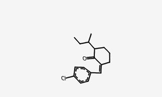 CCC(C)C1CCCC(=Cc2ccc(Cl)cc2)C1=O